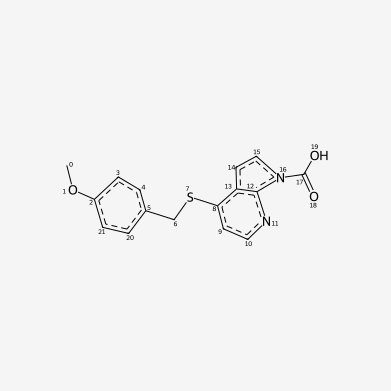 COc1ccc(CSc2ccnc3c2ccn3C(=O)O)cc1